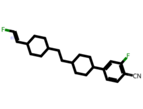 N#Cc1ccc(C2CCC(CCC3CCC(/C=C/F)CC3)CC2)cc1F